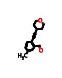 Cc1ccc(C#CC2CCOCC2)c(C=O)c1